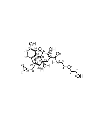 O=C(NCCOCCO)C1=C(O)C2Oc3c(O)ccc4c3[C@@]23CCN(CC2CC2)[C@H](C4)[C@]3(O)C1